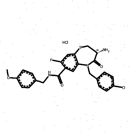 COc1ccc(CNC(=O)c2cc3c(cc2F)SC[C@H](N)C(=O)N3Cc2ccc(Cl)cc2)cc1.Cl